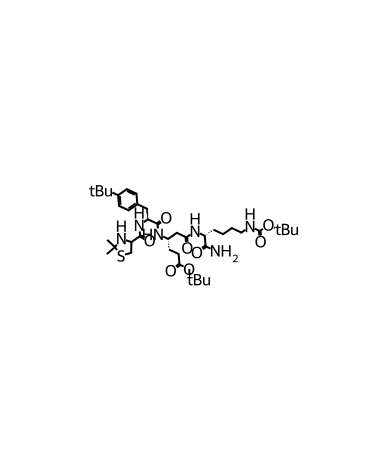 CC(C)(C)OC(=O)CC[C@@H](CC(=O)N[C@H](CCCCNC(=O)OC(C)(C)C)C(N)=O)NC(=O)[C@H](Cc1ccc(C(C)(C)C)cc1)NC(=O)C1CSC(C)(C)N1